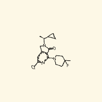 C[C@@H](C1CC1)N1Cc2cc(Cl)nc(N3CCC(C)(F)CC3)c2C1=O